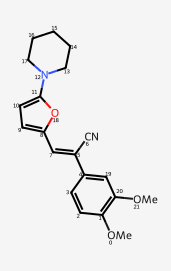 COc1ccc(/C(C#N)=C/c2ccc(N3CCCCC3)o2)cc1OC